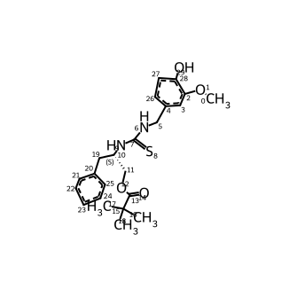 COc1cc(CNC(=S)N[C@H](COC(=O)C(C)(C)C)Cc2ccccc2)ccc1O